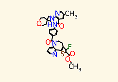 CCOC(=O)c1sc2c(c1F)CCN(C(=O)c1ccc(NC(=O)c3cc(C)cnc3N3CC4(CCOCC4)C3)cc1)c1cccnc1-2